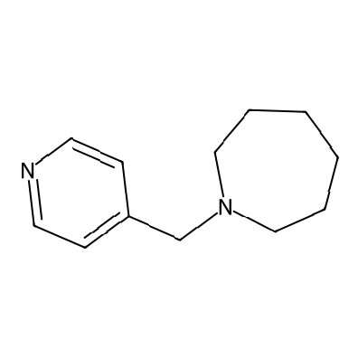 c1cc(CN2CCCCCC2)ccn1